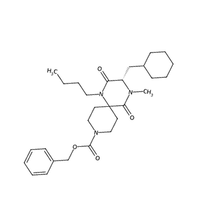 CCCCN1C(=O)[C@H](CC2CCCCC2)N(C)C(=O)C12CCN(C(=O)OCc1ccccc1)CC2